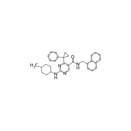 CC1CCC(Nc2ncc(C(=O)NCc3cccc4ccccc34)c(C3(c4ccccc4)CC3)n2)CC1